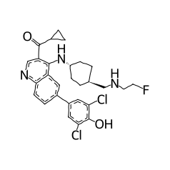 O=C(c1cnc2ccc(-c3cc(Cl)c(O)c(Cl)c3)cc2c1N[C@H]1CC[C@H](CNCCF)CC1)C1CC1